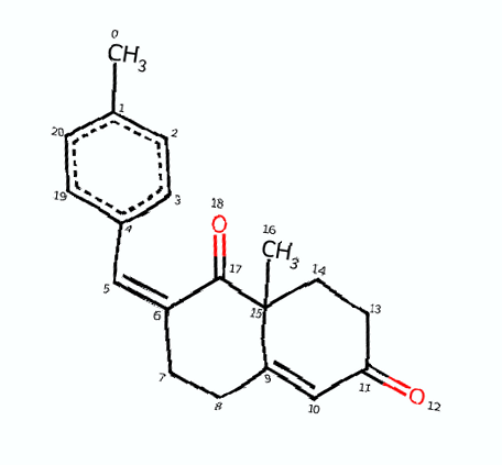 Cc1ccc(C=C2CCC3=CC(=O)CCC3(C)C2=O)cc1